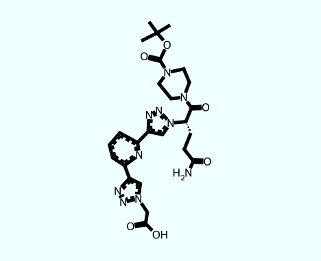 CC(C)(C)OC(=O)N1CCN(C(=O)[C@H](CCC(N)=O)n2cc(-c3cccc(-c4cn(CC(=O)O)nn4)n3)nn2)CC1